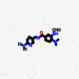 CCN(CC)c1ccc(CNC(=O)c2ccc(N(C)C)c(NC=O)c2)cn1